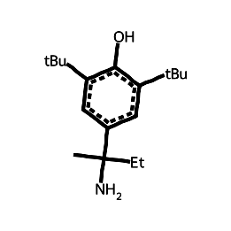 CCC(C)(N)c1cc(C(C)(C)C)c(O)c(C(C)(C)C)c1